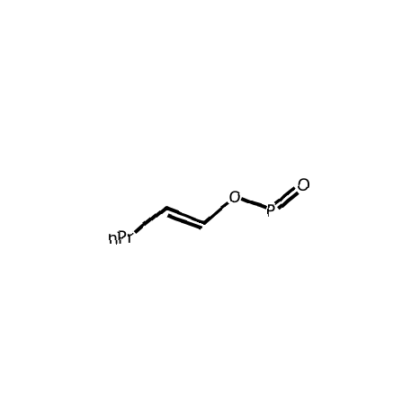 CCCC=COP=O